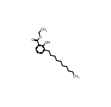 CCCCCCCCCCc1cccc(C(=O)OCC)c1O